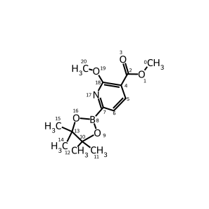 COC(=O)c1ccc(B2OC(C)(C)C(C)(C)O2)nc1OC